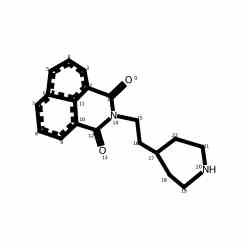 O=C1c2cccc3cccc(c23)C(=O)N1CCC1CCNCC1